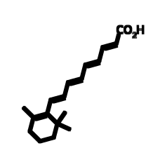 CC1=C(C=CC=CC=CC=CC(=O)O)C(C)(C)CCC1